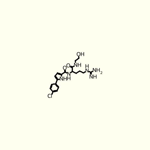 N=C(N)NCCCC(NC(=O)c1ccc(-c2ccc(Cl)cc2)[nH]1)C(=O)NCCO